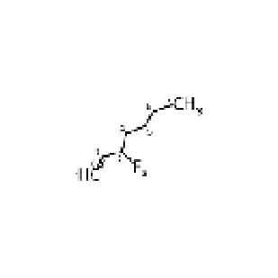 [CH]=CC(F)CCCC